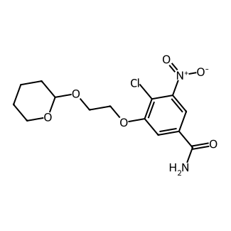 NC(=O)c1cc(OCCOC2CCCCO2)c(Cl)c([N+](=O)[O-])c1